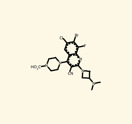 CN(C)C1CN(c2nc3c(F)c(Br)c(Cl)cc3c(N3CCN(C(=O)O)CC3)c2C#N)C1